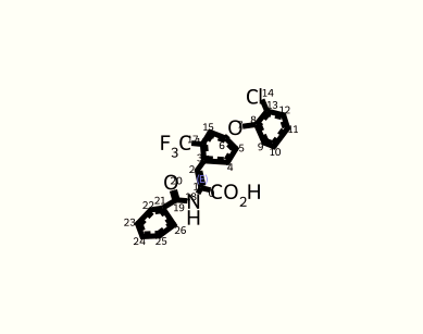 O=C(O)/C(=C\c1ccc(Oc2ccccc2Cl)cc1C(F)(F)F)NC(=O)c1ccccc1